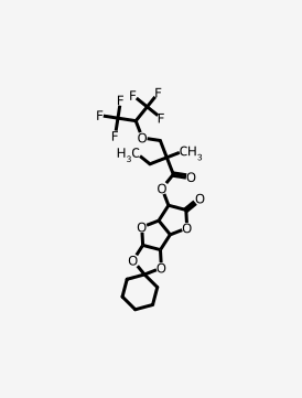 CCC(C)(COC(C(F)(F)F)C(F)(F)F)C(=O)OC1C(=O)OC2C3OC4(CCCCC4)OC3OC12